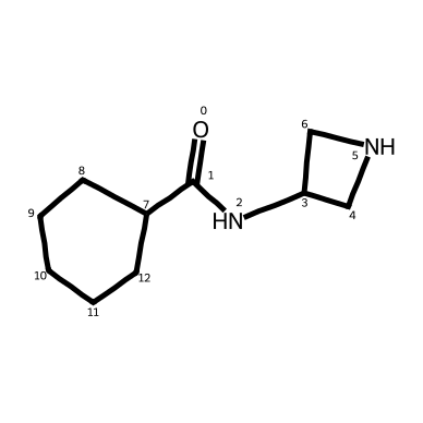 O=C(NC1CNC1)C1CCCCC1